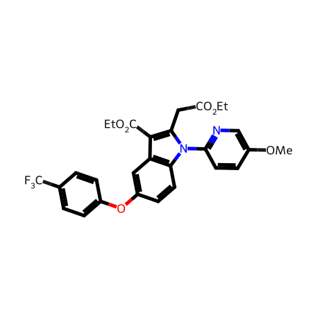 CCOC(=O)Cc1c(C(=O)OCC)c2cc(Oc3ccc(C(F)(F)F)cc3)ccc2n1-c1ccc(OC)cn1